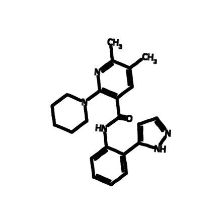 Cc1cc(C(=O)Nc2ccccc2-c2ccn[nH]2)c(N2CCCCC2)nc1C